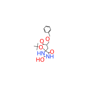 CC(C)(C)OC(=O)C(COCc1ccccc1)CC1(C)NC(O)NC1=O